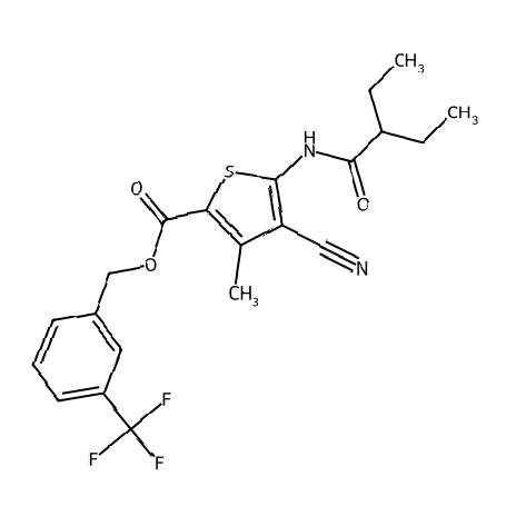 CCC(CC)C(=O)Nc1sc(C(=O)OCc2cccc(C(F)(F)F)c2)c(C)c1C#N